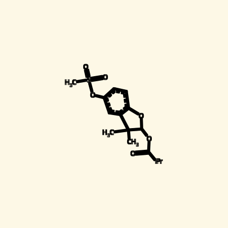 CC(C)C(=O)OC1Oc2ccc(OS(C)(=O)=O)cc2C1(C)C